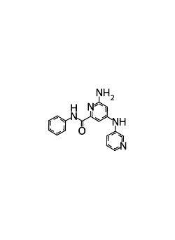 Nc1cc(Nc2cccnc2)cc(C(=O)Nc2ccccc2)n1